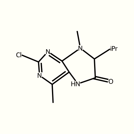 Cc1nc(Cl)nc2c1NC(=O)C(C(C)C)N2C